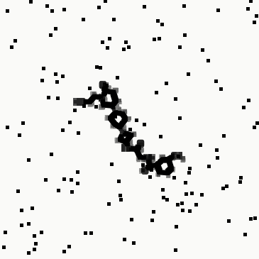 Cc1cccc(C(=O)NCC(=O)NC2CN([C@H]3CC[C@@H](c4ccc(=O)n(CCO)c4)CC3)C2)c1